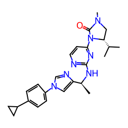 CC(C)[C@H]1CN(C)C(=O)N1c1ccnc(N[C@@H](C)c2cn(-c3ccc(C4CC4)cc3)cn2)n1